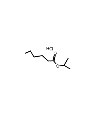 CCCCCC(=O)OC(C)C.Cl